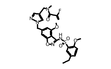 C=C(F)C(=O)N(C)Cc1cnn(Cc2cc(OC)c3c(NS(=O)(=O)c4cc(CC)ccc4OC)noc3c2)c1